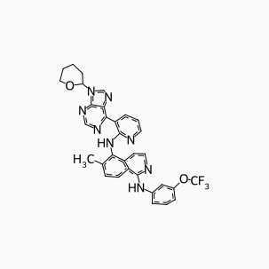 Cc1ccc2c(Nc3cccc(OC(F)(F)F)c3)nccc2c1Nc1ncccc1-c1ncnc2c1ncn2C1CCCCO1